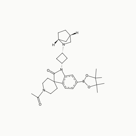 CC(=O)N1CCC2(CC1)C(=O)N([C@H]1C[C@@H](N3C[C@H]4CC[C@@H]3C4)C1)c1cc(B3OC(C)(C)C(C)(C)O3)ccc12